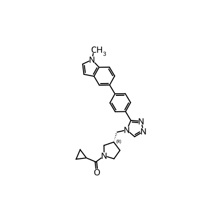 Cn1ccc2cc(-c3ccc(-c4nncn4C[C@@H]4CCN(C(=O)C5CC5)C4)cc3)ccc21